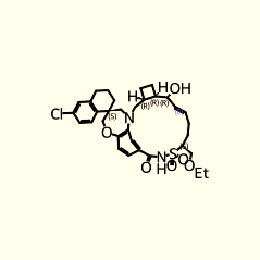 CCOC[C@@H]1CC/C=C/[C@H](O)[C@@H]2CC[C@H]2CN2C[C@@]3(CCCc4cc(Cl)ccc43)COc3ccc(cc32)C(=O)NS1(=O)=O